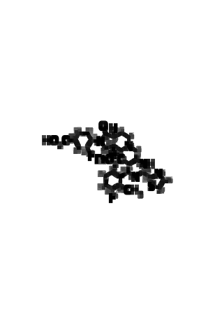 CCOC(=O)C1=C(CN2CC[C@H]3C(=O)N(c4ccc(C(=O)O)cc4F)C[C@H]3C2)NC(c2nccs2)=N[C@H]1c1cccc(F)c1C